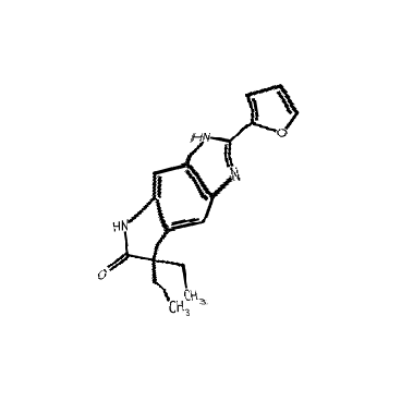 CCC1(CC)C(=O)Nc2cc3[nH]c(-c4ccco4)nc3cc21